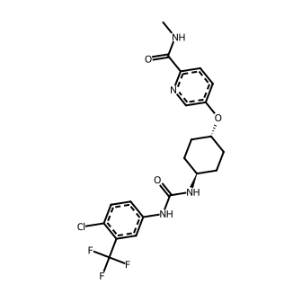 CNC(=O)c1ccc(O[C@H]2CC[C@H](NC(=O)Nc3ccc(Cl)c(C(F)(F)F)c3)CC2)cn1